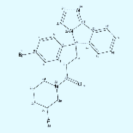 O=C(CCC1(c2ccc(Br)cc2)c2ccccc2-c2nccn21)N1CCCC(F)C1